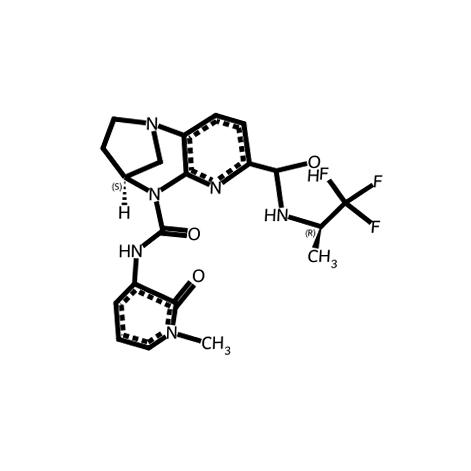 C[C@@H](NC(O)c1ccc2c(n1)N(C(=O)Nc1cccn(C)c1=O)[C@H]1CCN2C1)C(F)(F)F